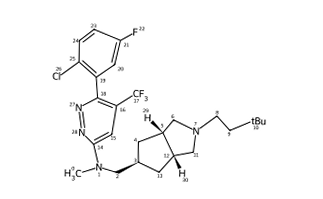 CN(C[C@H]1C[C@@H]2CN(CCC(C)(C)C)C[C@@H]2C1)c1cc(C(F)(F)F)c(-c2cc(F)ccc2Cl)nn1